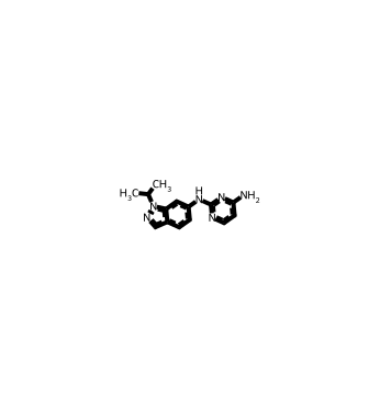 CC(C)n1ncc2ccc(Nc3nccc(N)n3)cc21